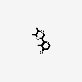 CC1=C(C2COC(C)C(C)O2)SCCC1=O